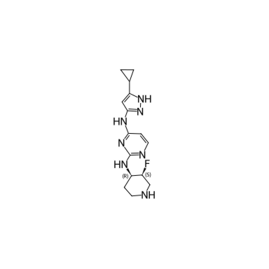 F[C@H]1CNCC[C@H]1Nc1nccc(Nc2cc(C3CC3)[nH]n2)n1